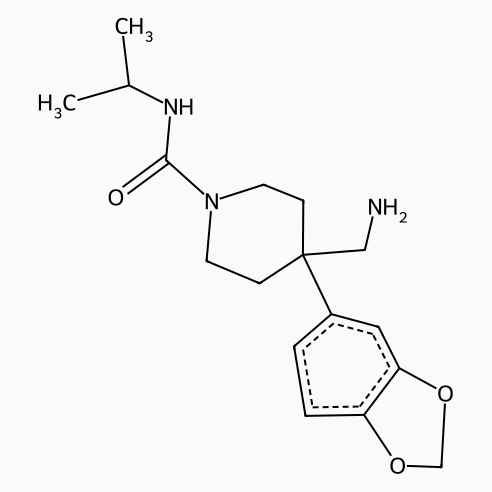 CC(C)NC(=O)N1CCC(CN)(c2ccc3c(c2)OCO3)CC1